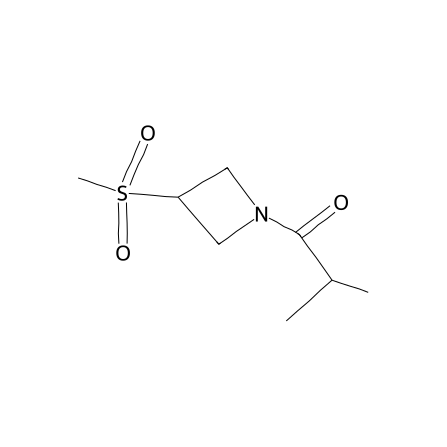 CC(C)C(=O)N1CC(S(C)(=O)=O)C1